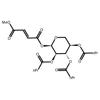 CCCC(=O)O[C@@H]1[C@@H](OC(=O)CCC)[C@@H](OC(=O)/C=C/C(=O)OC)OC[C@H]1OC(=O)CCC